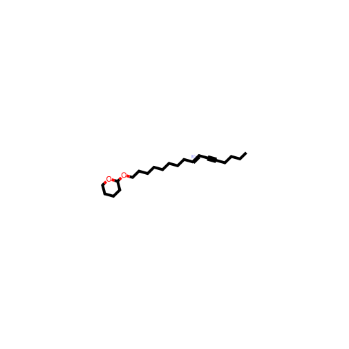 CCCCC#C/C=C/CCCCCCCCOC1CCCCO1